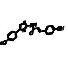 COc1ccc(-c2csc(NC(=O)C=Cc3ccc(O)cc3)n2)cc1